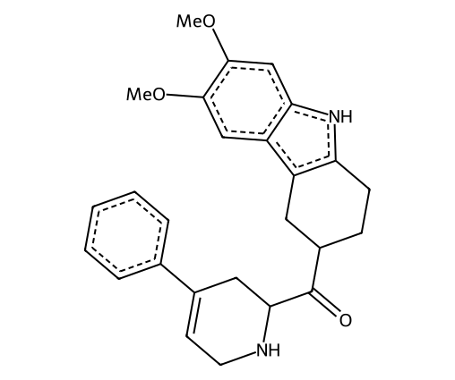 COc1cc2[nH]c3c(c2cc1OC)CC(C(=O)C1CC(c2ccccc2)=CCN1)CC3